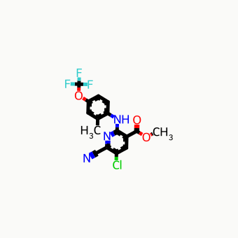 COC(=O)c1cc(Cl)c(C#N)nc1Nc1ccc(OC(F)(F)F)cc1C